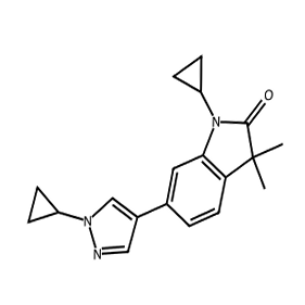 CC1(C)C(=O)N(C2CC2)c2cc(-c3cnn(C4CC4)c3)ccc21